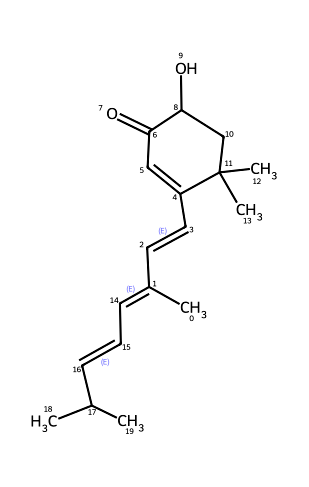 CC(/C=C/C1=CC(=O)C(O)CC1(C)C)=C\C=C\C(C)C